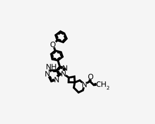 C=CC(=O)N1CCCC2(CC(n3nc(-c4ccc(Oc5ccccc5)cc4)c4c(N)ncnc43)C2)C1